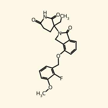 CCC1(N2Cc3c(OCc4cccc(OC)c4F)cccc3C2=O)CCC(=O)NC1=O